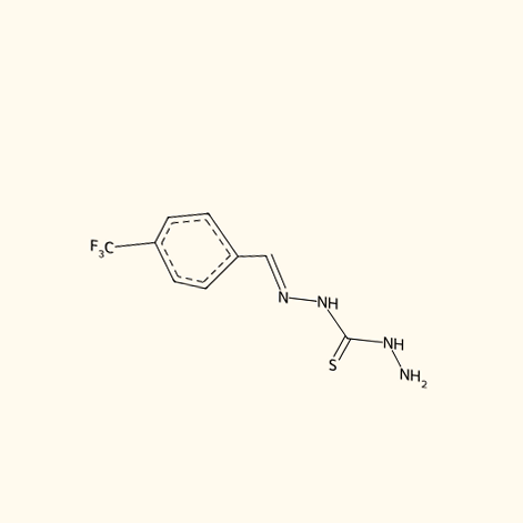 NNC(=S)N/N=C/c1ccc(C(F)(F)F)cc1